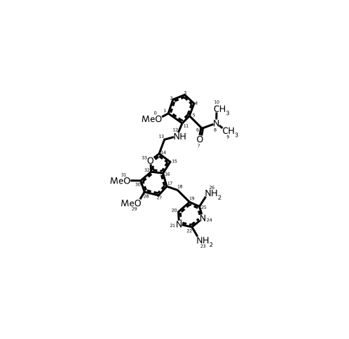 COc1cccc(C(=O)N(C)C)c1NCc1cc2c(Cc3cnc(N)nc3N)cc(OC)c(OC)c2o1